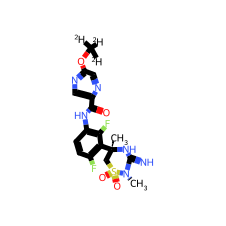 [2H]C([2H])([2H])Oc1cnc(C(=O)Nc2ccc(F)c([C@]3(C)CS(=O)(=O)N(C)C(=N)N3)c2F)cn1